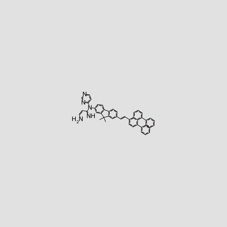 CC1(C)c2cc(/C=C/c3ccc(-c4ccccc4)c4c(-c5ccccc5)cccc34)ccc2-c2ccc(N(C(=N)/C=C\N)c3ccncn3)cc21